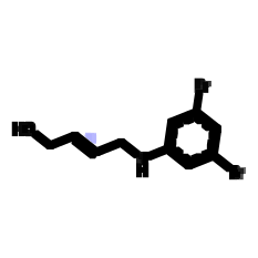 OC/C=C/CNc1cc(Br)cc(Br)c1